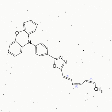 C\C=C/C=C\C=C\c1nnc(-c2ccc(N3c4ccccc4Oc4ccccc43)cc2)o1